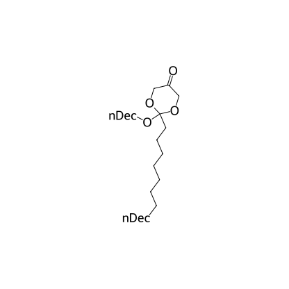 CCCCCCCCCCCCCCCCCC1(OCCCCCCCCCC)OCC(=O)CO1